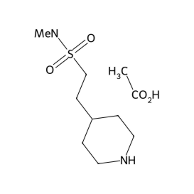 CC(=O)O.CNS(=O)(=O)CCC1CCNCC1